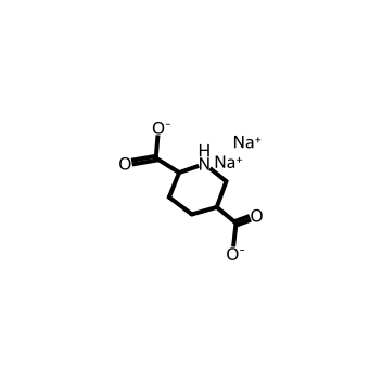 O=C([O-])C1CCC(C(=O)[O-])NC1.[Na+].[Na+]